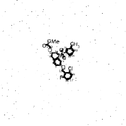 COC(=O)CO[C@@H]1Cc2ccc(OCc3c(F)cccc3Cl)cc2N(S(=O)(=O)c2cccc(C)c2)C1